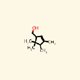 CC1=CC(CO)C(C)(C)C1C